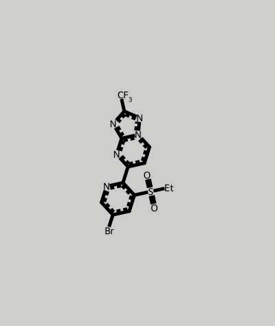 CCS(=O)(=O)c1cc(Br)cnc1-c1ccn2nc(C(F)(F)F)nc2n1